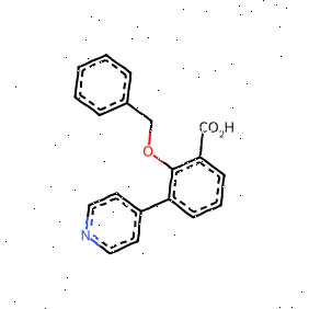 O=C(O)c1cccc(-c2ccncc2)c1OCc1ccccc1